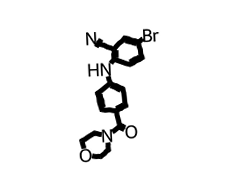 N#Cc1cc(Br)ccc1Nc1ccc(C(=O)N2CCOCC2)cc1